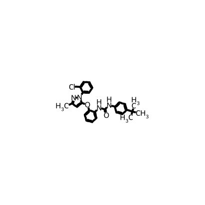 Cc1cc(Oc2ccccc2NC(=O)Nc2ccc(C(C)(C)C)cc2)n(-c2ccccc2Cl)n1